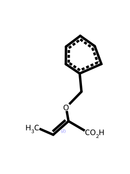 C/C=C(\OCc1ccccc1)C(=O)O